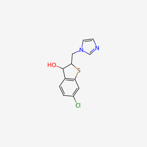 OC1c2ccc(Cl)cc2SC1Cn1ccnc1